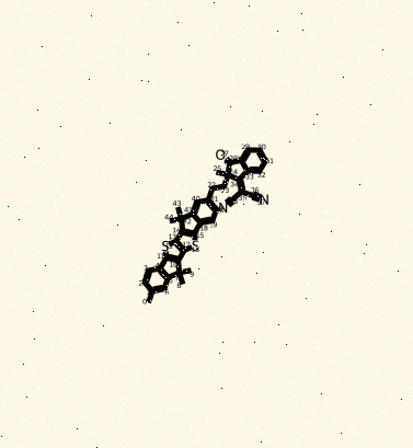 Cc1ccc2c(c1)C(C)(C)c1c-2sc2c3c(sc12)-c1ccc(CCC2(C)C(=O)c4ccccc4C2=C(C#N)C#N)cc1C3(C)C